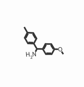 COc1ccc(C(N)c2ccc(C)cc2)cc1